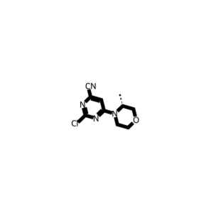 C[C@@H]1COCCN1c1cc(C#N)nc(Cl)n1